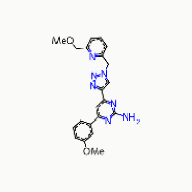 COCc1cccc(Cn2cc(-c3cc(-c4cccc(OC)c4)nc(N)n3)nn2)n1